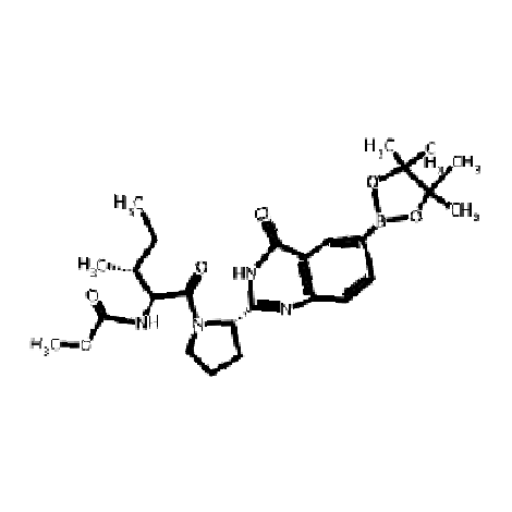 CC[C@@H](C)[C@H](NC(=O)OC)C(=O)N1CCC[C@H]1c1nc2ccc(B3OC(C)(C)C(C)(C)O3)cc2c(=O)[nH]1